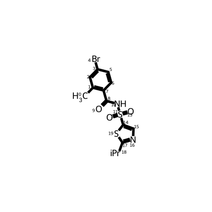 Cc1cc(Br)ccc1C(=O)NS(=O)(=O)c1cnc(C(C)C)s1